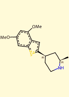 COc1cc(OC)c2cc([C@@H]3CCN[C@H](C)C3)sc2c1